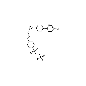 O=S(=O)(CCC(F)(F)F)N1CCC(COC[C@@H]2C[C@@H]2C2CCN(c3ncc(Cl)cn3)CC2)CC1